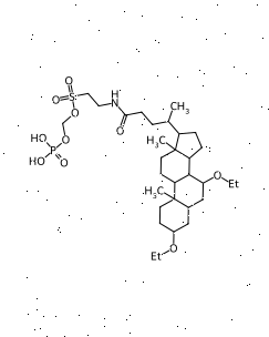 CCOC1CCC2(C)C(C1)CC(OCC)C1C2CCC2(C)C(C(C)CCC(=O)NCCS(=O)(=O)OCOP(=O)(O)O)CCC12